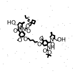 C=C1C[C@@H](CO)N(C(=O)c2cc(OC)c(OCCCCCOc3cc(NC(=O)OC(C)(C)C)c(C(=O)N4CC(=C)C[C@H]4CO)cc3OC)cc2NC(=O)OCC2(SSCC)CCC2)C1